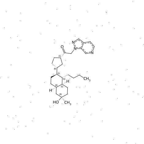 CCCC[C@H]1[C@H]([C@@H]2CC[C@H](C(=O)Cn3ncc4ccncc43)C2)CC[C@@H]2C[C@](C)(O)CC[C@@H]21